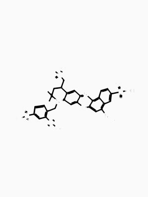 CC1(C)CC(CS(=O)(=O)O)c2cc3c(cc2=[N+]1Cc1ccc(S(=O)(=O)O)cc1S(=O)(=O)O)Oc1cc(N)c2cc(S(=O)(=O)O)ccc2c1N=3